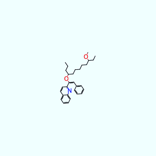 CCCC(CCCCCC(CC)OC)OC(=Cc1ccccc1)c1ccc2ccccc2n1